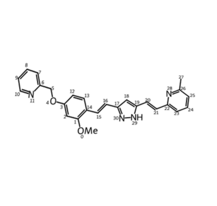 COc1cc(OCc2ccccn2)ccc1C=Cc1cc(C=Cc2cccc(C)n2)[nH]n1